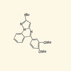 COc1ccc(-c2nc3cc(C(C)(C)C)nn3c3ccccc23)cc1OC